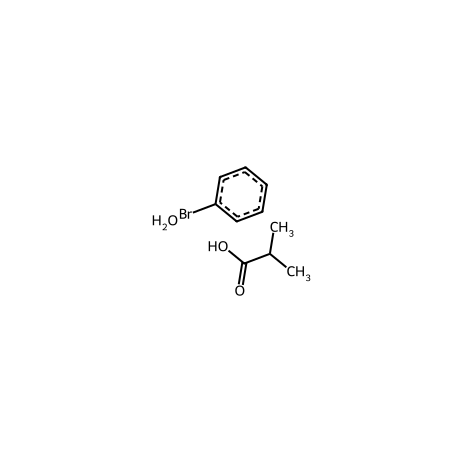 Brc1ccccc1.CC(C)C(=O)O.O